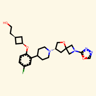 OCC[C@H]1C[C@@H](Oc2ccc(F)cc2C2CCN([C@@H]3COC4(C3)CN(c3nnco3)C4)CC2)C1